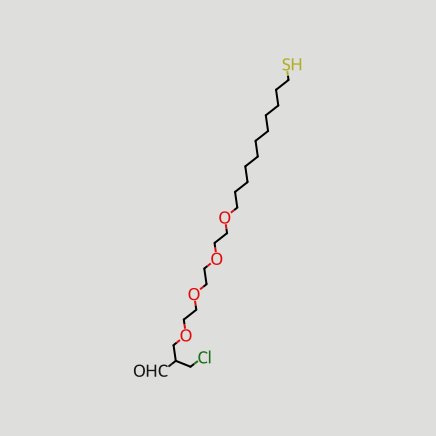 O=CC(CCl)COCCOCCOCCOCCCCCCCCCCCS